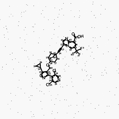 O=C(O)c1cc(C(F)(F)F)cn2c(C#CC34CCC(OCc5c(-c6c(Cl)cncc6Cl)noc5C5CC5)(CC3)CC4)cnc12